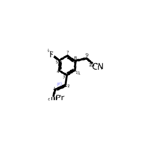 CCC/C=C/c1cc(F)cc(CC#N)c1